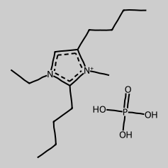 CCCCc1cn(CC)c(CCCC)[n+]1C.O=P(O)(O)O